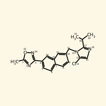 Cc1nc(-c2ccc3ccc(Cn4c(Cl)cnc4C(C)C)cc3c2)no1